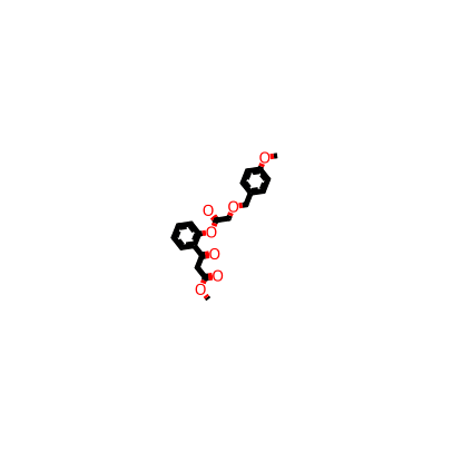 COC(=O)CC(=O)c1ccccc1OC(=O)COCc1ccc(OC)cc1